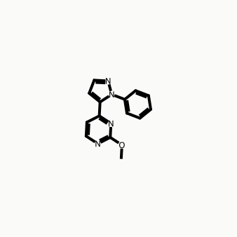 COc1nccc(-c2ccnn2-c2ccccc2)n1